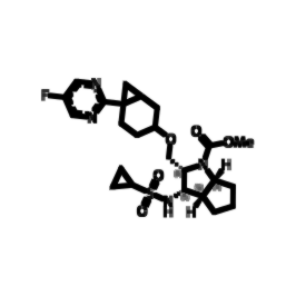 COC(=O)N1[C@@H]2CCC[C@@H]2[C@H](NS(=O)(=O)C2CC2)[C@@H]1COC1CCC2(c3ncc(F)cn3)CC2C1